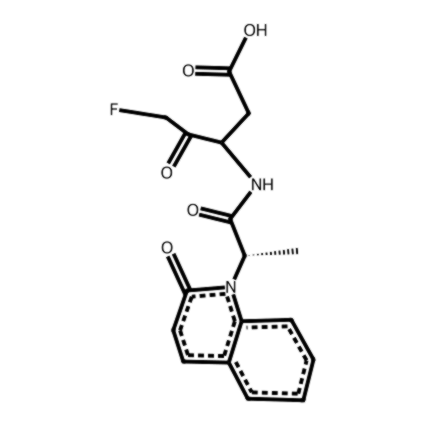 C[C@@H](C(=O)NC(CC(=O)O)C(=O)CF)n1c(=O)ccc2ccccc21